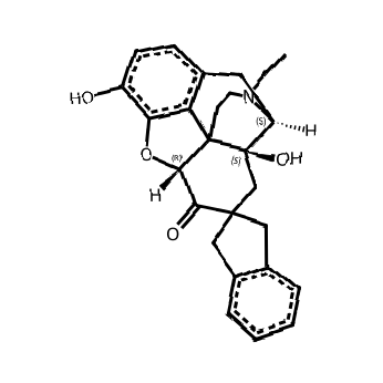 CN1CCC23c4c5ccc(O)c4O[C@H]2C(=O)C2(Cc4ccccc4C2)C[C@@]3(O)[C@@H]1C5